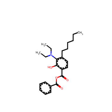 CCCCCCc1ccc(C(=O)OC(=O)c2ccccc2)c(O)c1N(CC)CC